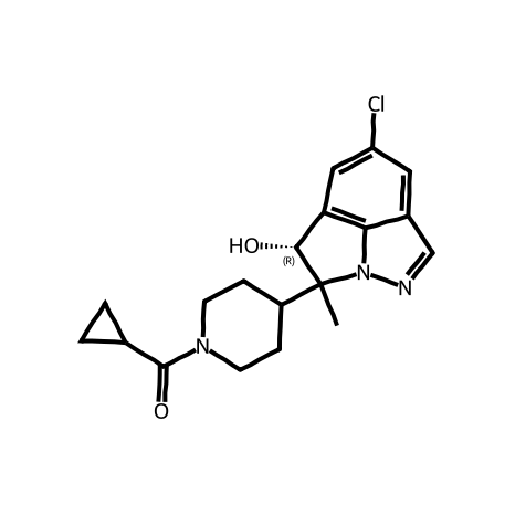 CC1(C2CCN(C(=O)C3CC3)CC2)[C@H](O)c2cc(Cl)cc3cnn1c23